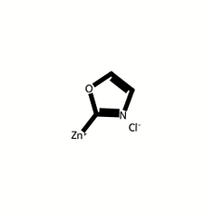 [Cl-].[Zn+][c]1ncco1